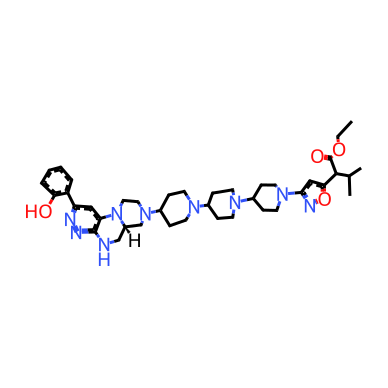 CCOC(=O)C(c1cc(N2CCC(N3CCC(N4CCC(N5CCN6c7cc(-c8ccccc8O)nnc7NC[C@H]6C5)CC4)CC3)CC2)no1)C(C)C